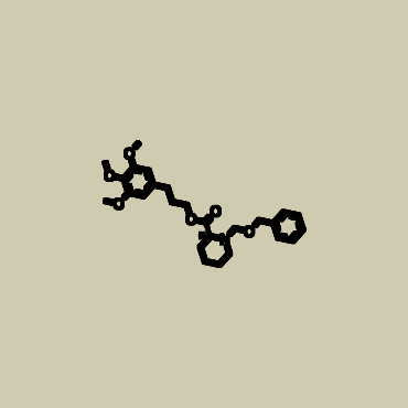 COc1cc(CCCOC(=O)[C@@H]2CCCCN2COCc2ccccc2)cc(OC)c1OC